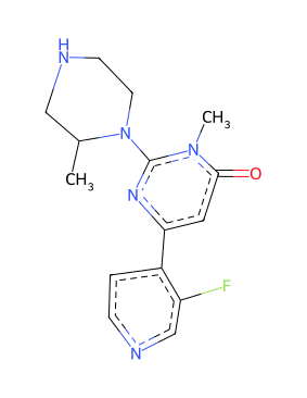 CC1CNCCN1c1nc(-c2ccncc2F)cc(=O)n1C